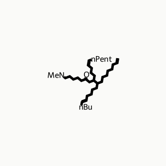 C=CCCCCCCC(CCCC/C=C/CCCC)C(CCC/C=C\CCCCC)CC(=O)CCCCCNC